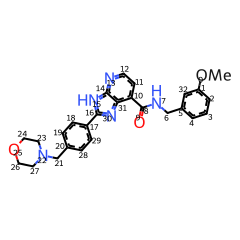 COc1cccc(CNC(=O)c2ccnc3[nH]c(-c4ccc(CN5CCOCC5)cc4)nc23)c1